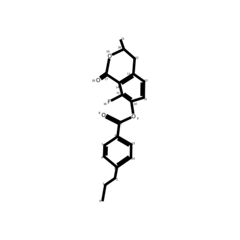 CCCc1ccc(C(=O)Oc2ccc3c(c2F)C(=O)OC(C)C3)cc1